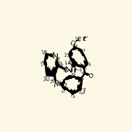 CCOc1ccc(C(=O)c2ccccc2)c(Nc2ncccc2N)c1